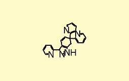 C1=CC(c2ccccn2)(c2ccccn2)Cc2[nH]nc(-c3ccccn3)c21